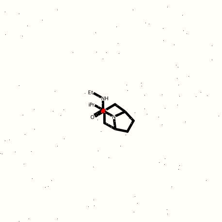 CCNC(=O)N1C2CCC1CN(C(C)C)C2